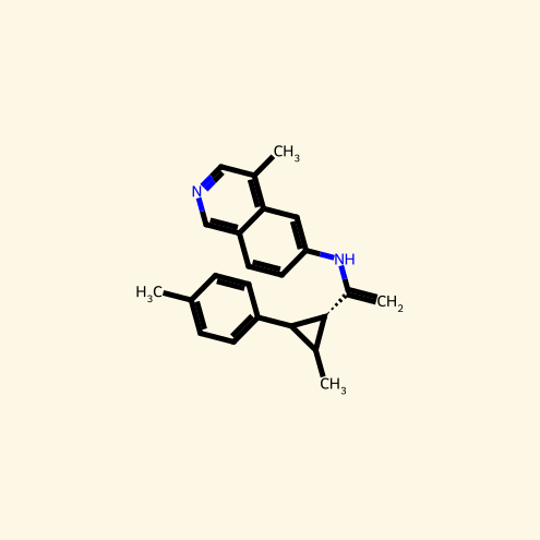 C=C(Nc1ccc2cncc(C)c2c1)[C@@H]1C(C)C1c1ccc(C)cc1